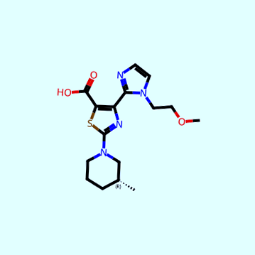 COCCn1ccnc1-c1nc(N2CCC[C@@H](C)C2)sc1C(=O)O